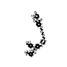 O=C1CCC(N2C(=O)c3ccc(OCCOCCOCCN4CCN(Cc5ccc6c(c5)nc(NC(=O)c5cccc(C(F)(F)F)c5)n6-c5ccc(CO)cc5)CC4)cc3C2=O)C(=O)N1